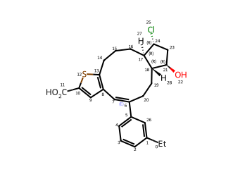 CCc1cccc(/C2=C/c3cc(C(=O)O)sc3CCC[C@@H]3[C@@H](CC2)[C@H](O)C[C@H]3Cl)c1